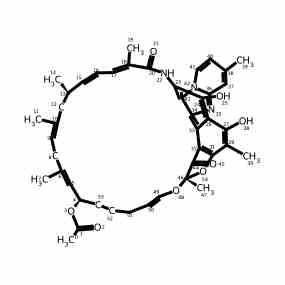 CC(=O)O[C@H]1C=C(C)CC=C(C)C[C@@H](C)/C=C/C=C(\C)C(=O)Nc2c(O)c3c(O)c(C)c4c(c3c3nc5cc(C)ccn5c23)C(=O)[C@@](C)(O/C=C/CCC1)O4